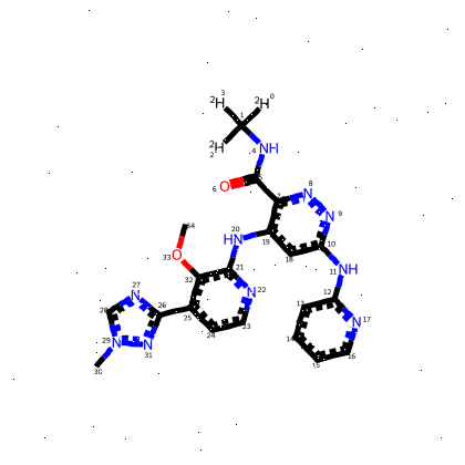 [2H]C([2H])([2H])NC(=O)c1nnc(Nc2ccccn2)cc1Nc1nccc(-c2ncn(C)n2)c1OC